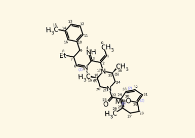 CC=C(C(=N)/N=C\C(CC)Cc1cccc(C)c1)N1[C@H](C)CN(C(=O)C2=C(\C)CC/C(OC)=C/C=C\2)C[C@@H]1C